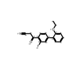 CCOc1ccccc1-c1ccc(C(=O)CC#N)c(F)c1